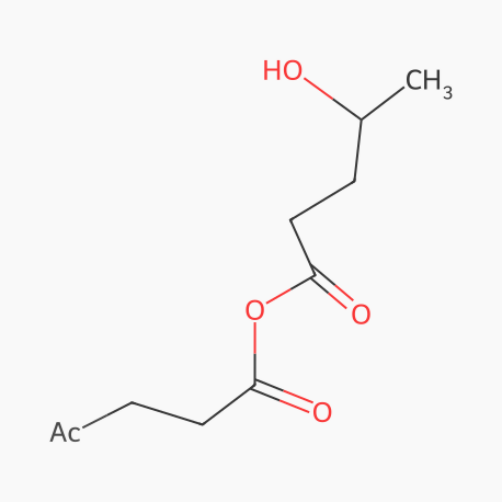 CC(=O)CCC(=O)OC(=O)CCC(C)O